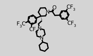 O=C(Cc1cc(C(F)(F)F)cc(C(F)(F)F)c1)N1CCC[C@](CCN2CCN(C3CCCCC3)CC2)(c2ccc(C(F)(F)F)c(C(F)(F)F)c2)C1